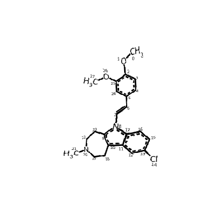 COc1ccc(C=Cn2c3c(c4cc(Cl)ccc42)CCN(C)CC3)cc1OC